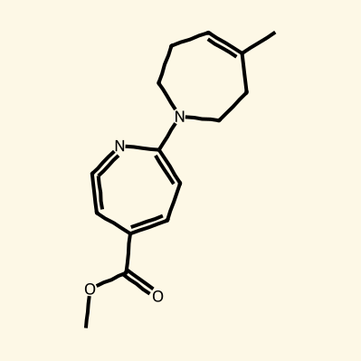 COC(=O)C1=CC=C(N2CCC=C(C)CC2)N=C=C1